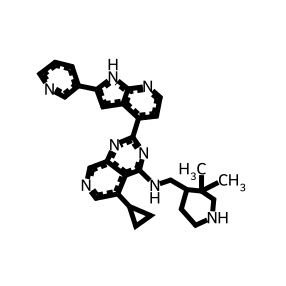 CC1(C)CNCCC1CNc1nc(-c2ccnc3[nH]c(-c4cccnc4)cc23)nc2cncc(C3CC3)c12